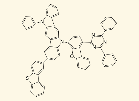 c1ccc(-c2nc(-c3ccccc3)nc(-c3ccc(-n4c5ccc(-c6ccc7sc8ccccc8c7c6)cc5c5cc6c(cc54)c4ccccc4n6-c4ccccc4)c4oc5ccccc5c34)n2)cc1